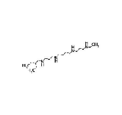 CCNCCCNCCCCNCCCNCC(CC)CC